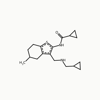 CC1CCc2sc(NC(=O)C3CC3)c(CNCC3CC3)c2C1